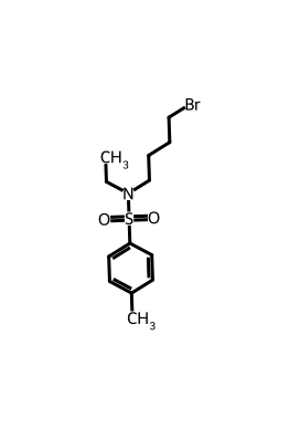 CCN(CCCCBr)S(=O)(=O)c1ccc(C)cc1